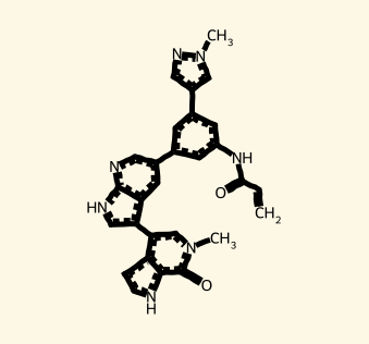 C=CC(=O)Nc1cc(-c2cnc3[nH]cc(-c4cn(C)c(=O)c5[nH]ccc45)c3c2)cc(-c2cnn(C)c2)c1